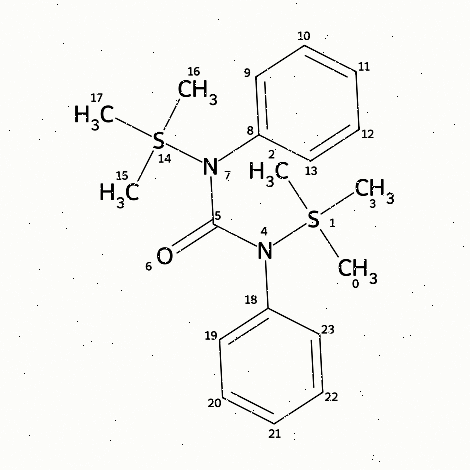 CS(C)(C)N(C(=O)N(c1ccccc1)S(C)(C)C)c1ccccc1